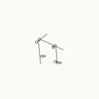 CCCCCCC(O)CCCCCCCCCCC(=O)C(C)(C)OC(CCCCCC)CCCCCCCCCCC(=O)OC(CCCCCC)CCCCCCCCCCC(=O)O